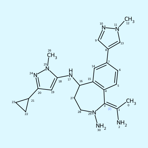 C/C(N)=C1\c2ccc(-c3cnn(C)c3)cc2C(Nc2cc(C3CC3)nn2C)CCN1N